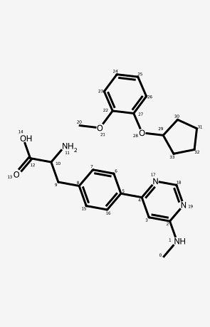 CNc1cc(-c2ccc(CC(N)C(=O)O)cc2)ncn1.COc1ccccc1OC1CCCC1